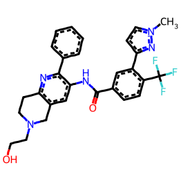 Cn1ccc(-c2cc(C(=O)Nc3cc4c(nc3-c3ccccc3)CCN(CCO)C4)ccc2C(F)(F)F)n1